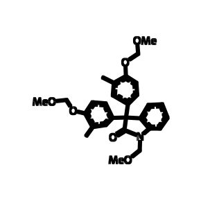 COCOc1ccc(C2(c3ccc(OCOC)c(C)c3)C(=O)N(COC)c3ccccc32)cc1C